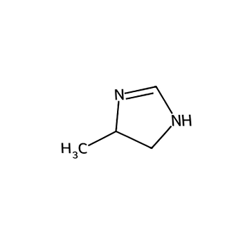 CC1CNC=N1